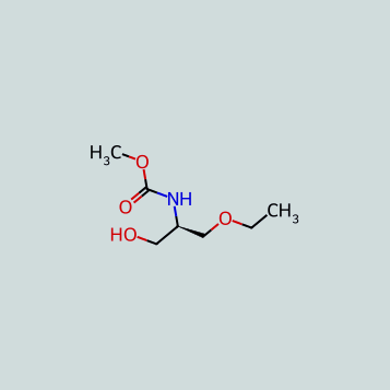 CCOC[C@@H](CO)NC(=O)OC